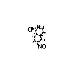 O=Nc1ccc2c(Cl)nccc2c1